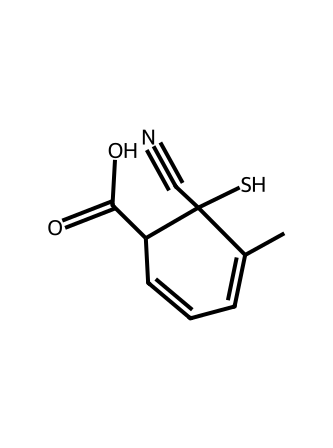 CC1=CC=CC(C(=O)O)C1(S)C#N